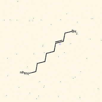 BC/C=C/CCCCCCCCCC